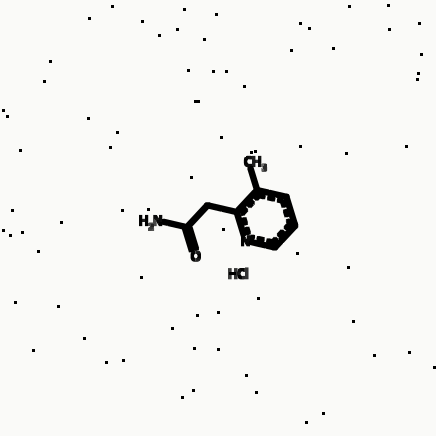 Cc1cccnc1CC(N)=O.Cl